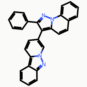 c1ccc(-c2nn3c(ccc4ccccc43)c2-c2ccc3c4ccccc4nn3c2)cc1